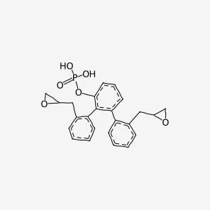 O=P(O)(O)Oc1cccc(-c2ccccc2CC2CO2)c1-c1ccccc1CC1CO1